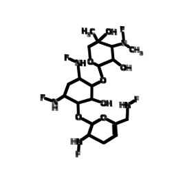 CN(F)C1C(O)C(OC2C(NF)CC(NF)C(OC3OC(CNF)=CCC3NF)C2O)OCC1(C)O